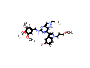 CCn1cc2nc(NCc3cc(OC)c(OC)c(OC)c3)nc(-c3cn(CCCOC)c4cc(F)c(Br)cc34)c2n1